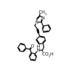 Cc1cn(CC#Cc2ccc(C[C@H](Nc3ccccc3C(=O)c3ccccc3)C(=O)O)cc2)c(-c2ccccc2)n1